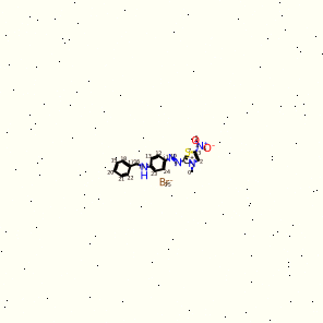 Cn1cc([N+](=O)[O-])s[c+]1N=Nc1ccc(NCc2ccccc2)cc1.[Br-]